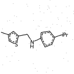 Cc1csc(CNc2ccc(C(C)C)cc2)c1